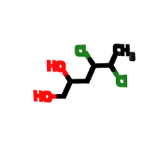 CC(Cl)C(Cl)CC(O)CO